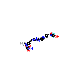 CN1C(=O)N(C2CCC(=O)NC2=O)C2C=CC(CCCN3CCN(c4cnc(-c5ccc6cn([C@H]7CC[C@H](CNC(=O)c8cc(F)c(O)c(F)c8F)CC7)nc6c5)cn4)CC3)=CC21